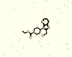 CCOC(=O)N1CCC(n2c(CCl)nc3cccnc32)CC1